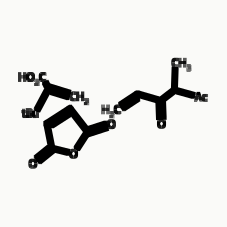 C=C(C(=O)O)C(C)(C)C.C=CC(=O)C(C)C(C)=O.O=C1C=CC(=O)O1